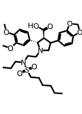 CCCCCCS(=O)(=O)N(CCC)CCN1CC(c2ccc3c(c2)OCO3)[C@H](C(=O)O)[C@H]1c1ccc(OC)c(OC)c1